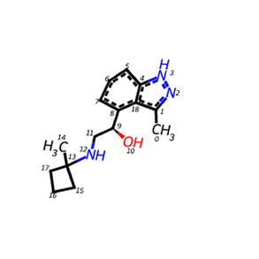 Cc1n[nH]c2cccc([C@@H](O)CNC3(C)CCC3)c12